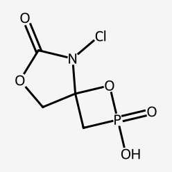 O=C1OCC2(CP(=O)(O)O2)N1Cl